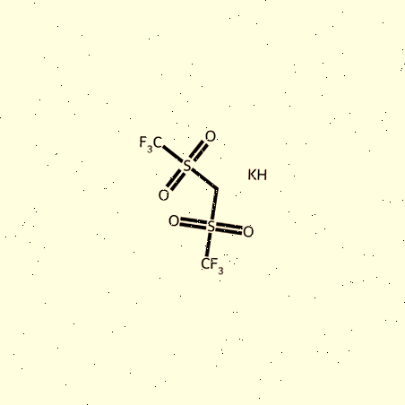 O=S(=O)(CS(=O)(=O)C(F)(F)F)C(F)(F)F.[KH]